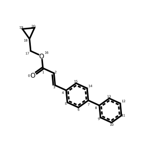 O=C(/C=C/c1ccc(-c2ccccc2)cc1)OCC1CC1